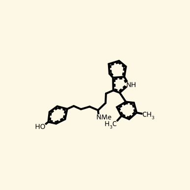 CNC(CCCc1ccc(O)cc1)CCc1c(-c2cc(C)cc(C)c2)[nH]c2ccccc12